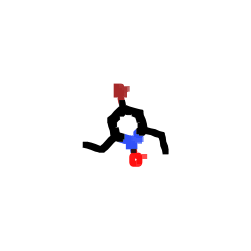 CCc1cc(Br)cc(CC)[n+]1[O-]